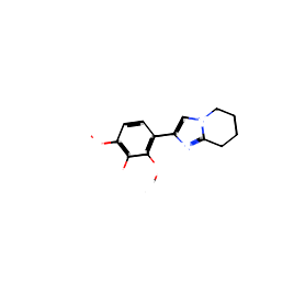 COc1ccc(-c2cn3c(n2)CCCC3)c(OC)c1O